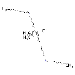 CCCCCCCC/C=C\CCCCCCCCCC(CCCCCCCC/C=C\CCCCCCCC)C[N+](C)(C)C.[Cl-]